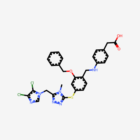 Cn1c(Cn2cnc(Cl)c2Cl)nnc1Sc1ccc(CNc2ccc(CC(=O)O)cc2)c(OCc2ccccc2)c1